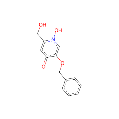 O=c1cc(CO)n(O)cc1OCc1ccccc1